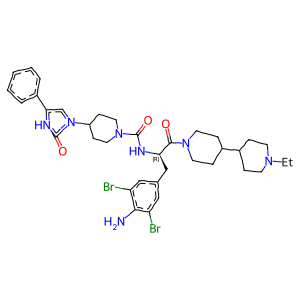 CCN1CCC(C2CCN(C(=O)[C@@H](Cc3cc(Br)c(N)c(Br)c3)NC(=O)N3CCC(n4cc(-c5ccccc5)[nH]c4=O)CC3)CC2)CC1